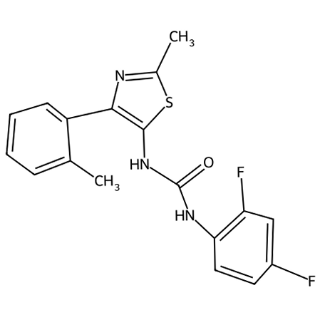 Cc1nc(-c2ccccc2C)c(NC(=O)Nc2ccc(F)cc2F)s1